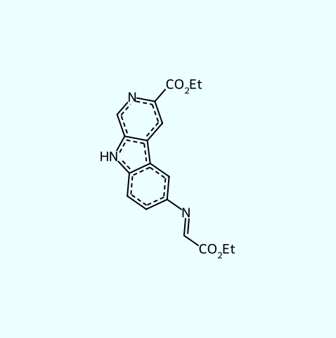 CCOC(=O)C=Nc1ccc2[nH]c3cnc(C(=O)OCC)cc3c2c1